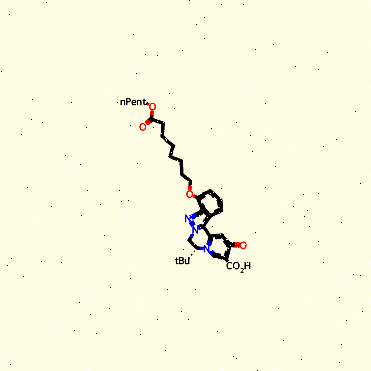 CCCCCOC(=O)CCCCCCCOc1cccc2c3n(nc12)C[C@@H](C(C)(C)C)n1cc(C(=O)O)c(=O)cc1-3